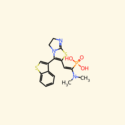 CN(C)C(=CC1=C(c2csc3ccccc23)N2CCN=C2S1)P(=O)(O)O